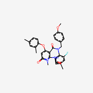 COc1ccc(CN(C(=O)c2c(Oc3ccc(C)cc3C)cc(=O)n(C)c2NC=O)c2ccc(C)cc2F)cc1